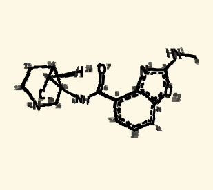 CNc1nc2c(C(=O)N[C@@H]3CN4CCC3CC4)cccc2o1